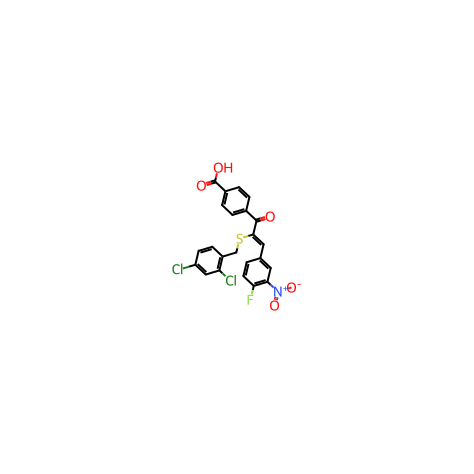 O=C(O)c1ccc(C(=O)C(=Cc2ccc(F)c([N+](=O)[O-])c2)SCc2ccc(Cl)cc2Cl)cc1